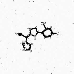 N#C/C(=C1\SCC(c2ccc(Cl)cc2Cl)S1)n1ccnc1